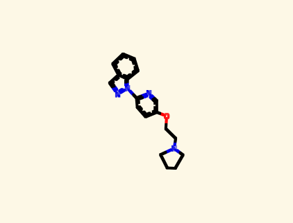 c1ccc2c(c1)cnn2-c1ccc(OCCN2CCCC2)cn1